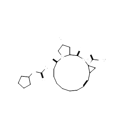 COC(=O)[C@@]12CC1/C=C\CCCCC[C@H](NC(=O)OC1CCCC1)C(=O)N1C[C@H](C)C[C@H]1C(=O)N2